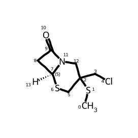 CSC1(CCl)CS[C@H]2CC(=O)N2C1